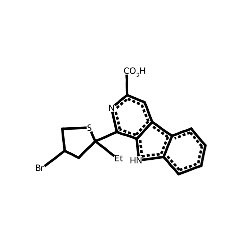 CCC1(c2nc(C(=O)O)cc3c2[nH]c2ccccc23)CC(Br)CS1